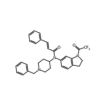 O=C(C=Cc1ccccc1)N(c1ccc2c(c1)N(C(=O)C(F)(F)F)CC2)C1CCN(Cc2ccccc2)CC1